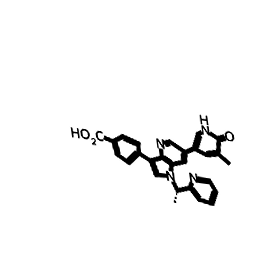 Cc1cc(-c2cnc3c(-c4ccc(C(=O)O)cc4)cn([C@@H](C)c4ccccn4)c3c2)c[nH]c1=O